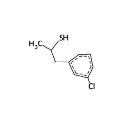 CC(S)Cc1cccc(Cl)c1